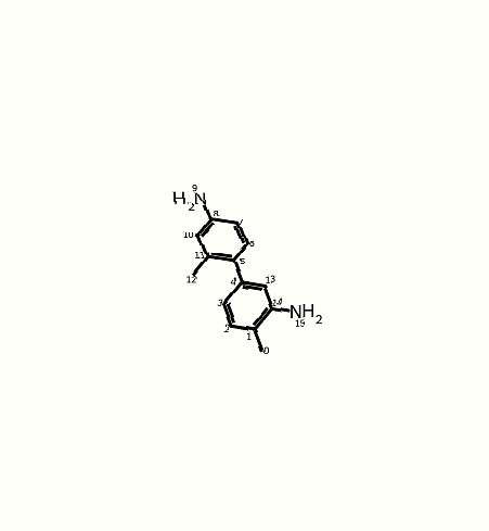 Cc1ccc(-c2ccc(N)cc2C)cc1N